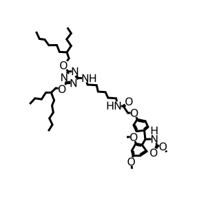 CCCCCCC(CCCC)COc1nc(NCCCCCCNC(=O)COc2ccc(C(NC(=O)OC)c3ccc(OC)cc3OC)cc2)nc(OCC(CCCC)CCCCCC)n1